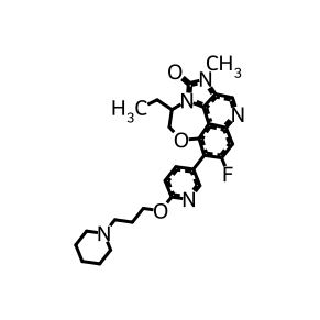 CCC1COc2c(-c3ccc(OCCCN4CCCCC4)nc3)c(F)cc3ncc4c(c23)n1c(=O)n4C